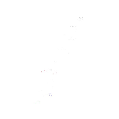 CCc1ccc(-c2ccc(C(=O)Oc3ccc(Cl)nc3)cc2)cc1